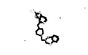 Nc1nc2c(CC3CCN(CC4COc5ccccc5O4)CC3)nccc2s1